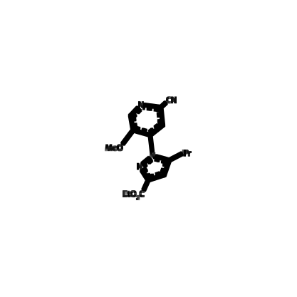 CCOC(=O)c1cc(C(C)C)n(-c2cc(C#N)ncc2OC)n1